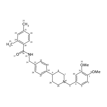 COc1ccc(CN2CCC(c3ccc(CNC(=O)c4ccc(C)cc4C)cc3)CC2)cc1OC